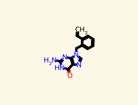 C=Cc1ccccc1Cn1cnc2c(=O)[nH]c(N)nc21